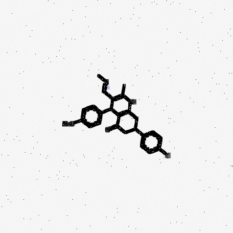 C/N=C/C1=C(C)NC2=C(C(=O)CC(c3ccc(Cl)cc3)C2)C1c1ccc(OC)cc1